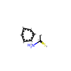 CC(N)=S.c1ccccc1